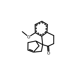 COc1cccc2c1C1(CC3=CCC1C3)C(=O)CC2